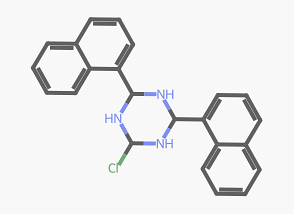 ClC1NC(c2cccc3ccccc23)NC(c2cccc3ccccc23)N1